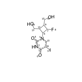 O=c1[nH]c(=O)n(C2C(F)C(CO)C2CO)cc1I